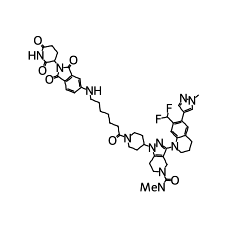 CNC(=O)N1CCc2c(c(N3CCCc4cc(-c5cnn(C)c5)c(C(F)F)cc43)nn2C2CCN(C(=O)CCCCCCNc3ccc4c(c3)C(=O)N(C3CCC(=O)NC3=O)C4=O)CC2)C1